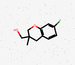 CC1(CO)COc2cc(F)ccc2C1